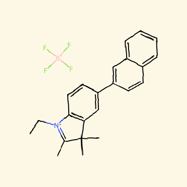 CC[N+]1=C(C)C(C)(C)c2cc(-c3ccc4ccccc4c3)ccc21.F[B-](F)(F)F